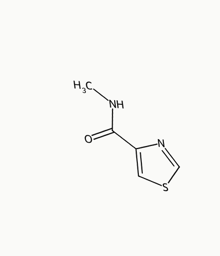 CNC(=O)c1cscn1